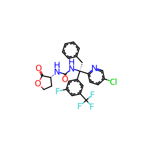 O=C(N[C@@H]1CCOC1=O)N[C@](Cc1ccccc1)(c1cc(F)cc(C(F)(F)F)c1)c1ccc(Cl)cn1